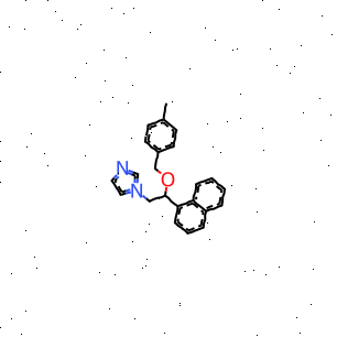 Cc1ccc(COC(Cn2ccnc2)c2cccc3ccccc23)cc1